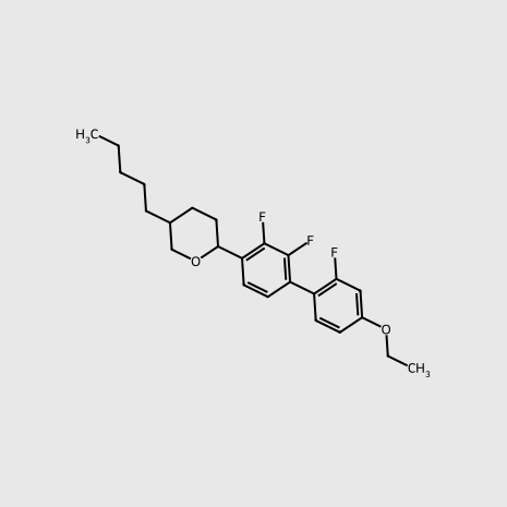 CCCCCC1CCC(c2ccc(-c3ccc(OCC)cc3F)c(F)c2F)OC1